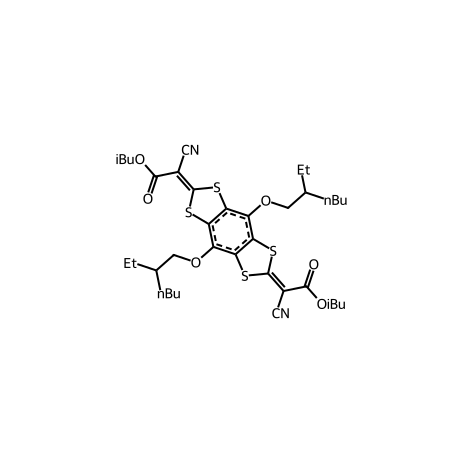 CCCCC(CC)COc1c2c(c(OCC(CC)CCCC)c3c1SC(=C(C#N)C(=O)OCC(C)C)S3)SC(=C(C#N)C(=O)OCC(C)C)S2